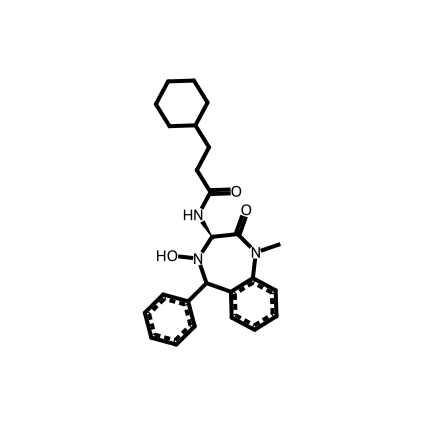 CN1C(=O)[C@H](NC(=O)CCC2CCCCC2)N(O)C(c2ccccc2)c2ccccc21